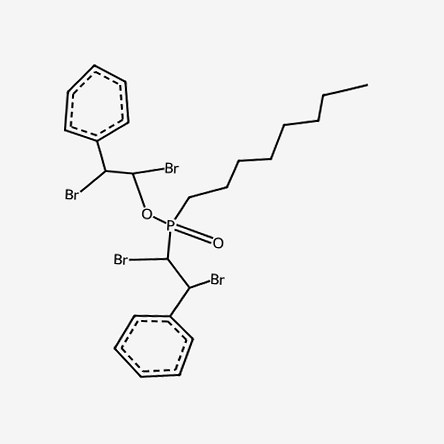 CCCCCCCCP(=O)(OC(Br)C(Br)c1ccccc1)C(Br)C(Br)c1ccccc1